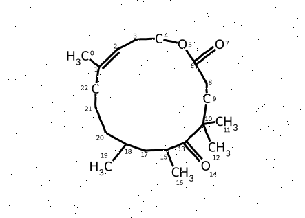 CC1=CCCOC(=O)CCC(C)(C)C(=O)C(C)CC(C)CCC1